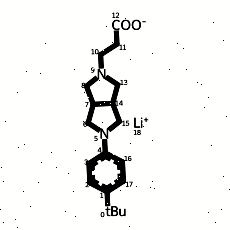 CC(C)(C)c1ccc(N2CC3CN(CCC(=O)[O-])CC3C2)cc1.[Li+]